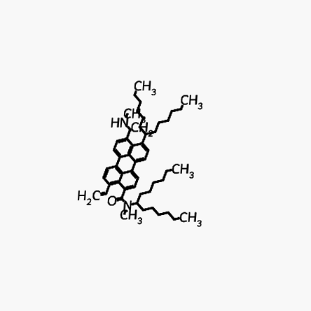 C=Cc1ccc2c3ccc(C(=C)NC)c4c(C(CCCCCC)CCCCCC)ccc(c5ccc(C(=O)N(C)C(CCCCCC)CCCCCC)c1c25)c43